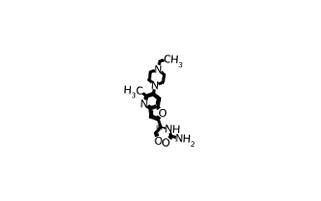 CCN1CCN(c2cc3oc([C@H](C=O)NC(N)=O)cc3nc2C)CC1